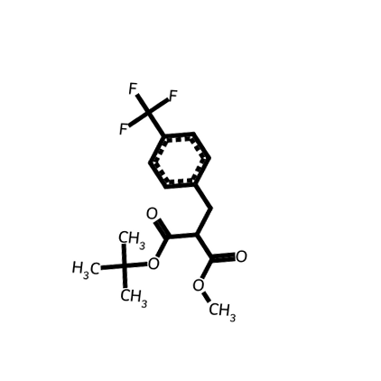 COC(=O)C(Cc1ccc(C(F)(F)F)cc1)C(=O)OC(C)(C)C